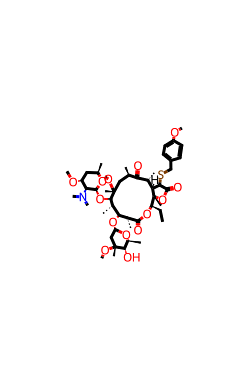 CC[C@H]1OC(=O)[C@H](C)[C@@H](O[C@H]2C[C@@](C)(OC)[C@@H](O)[C@H](C)O2)[C@H](C)[C@@H](O[C@@H]2O[C@H](C)C[C@@H](OC)[C@@H]2N(C)C)[C@](C)(OC)C[C@@H](C)C(=O)[C@H](C)[C@H]2C(SCc3ccc(OC)cc3)C(=O)O[C@@]21C